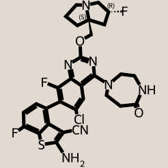 N#Cc1c(N)sc2c(F)ccc(-c3c(Cl)cc4c(N5CCNC(=O)CC5)nc(OC[C@@]56CCCN5C[C@H](F)C6)nc4c3F)c12